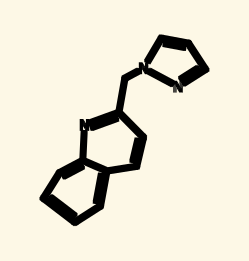 c1ccc2nc(Cn3cccn3)ccc2c1